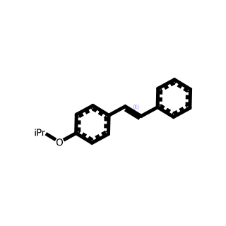 CC(C)Oc1ccc(/C=C/c2ccccc2)cc1